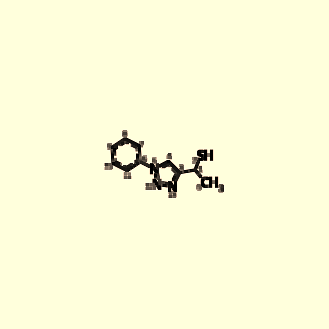 CC(S)c1cn(-c2ccccc2)nn1